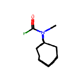 CN(C(=O)F)C1CCCCC1